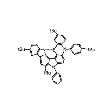 CC(C)(C)c1ccc(N2c3ccc(C(C)(C)C)cc3B3c4c2ccc2c4c4c5c(cc(C(C)(C)C)c4n2-c2ccccc2)c2cc(C(C)(C)C)ccc2n53)cc1